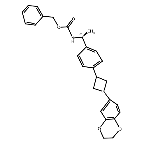 C[C@H](NC(=O)OCc1ccccc1)c1ccc(C2CN(c3ccc4c(c3)OCCO4)C2)cc1